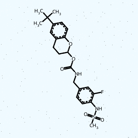 CC(C)(C)c1ccc2c(c1)CCC(OC(=O)NCc1ccc(NS(C)(=O)=O)c(F)c1)O2